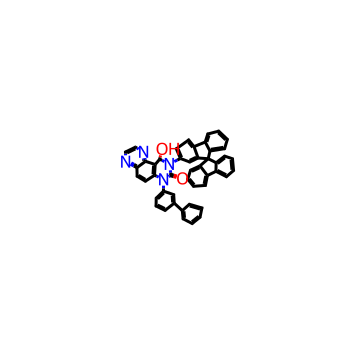 O=C1N(c2cccc(-c3ccccc3)c2)c2ccc3nccnc3c2C(O)N1c1ccc2c(c1)C1(c3ccccc3-c3ccccc31)c1ccccc1-2